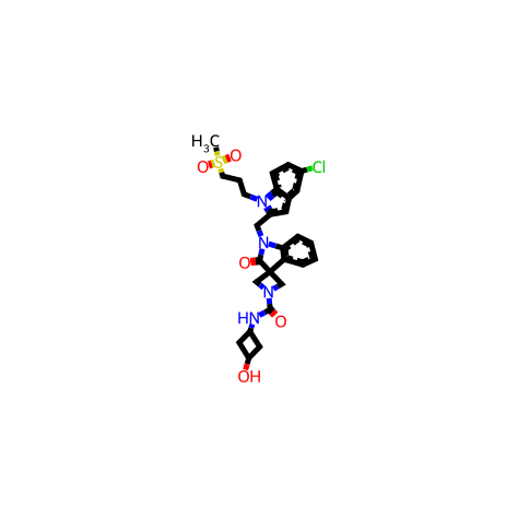 CS(=O)(=O)CCCn1c(CN2C(=O)C3(CN(C(=O)NC4CC(O)C4)C3)c3ccccc32)cc2cc(Cl)ccc21